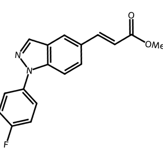 COC(=O)C=Cc1ccc2c(cnn2-c2ccc(F)cc2)c1